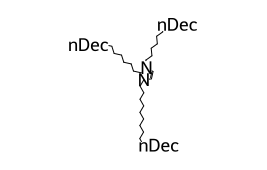 CCCCCCCCCCCCCCCCCCCN1C=CN(CCCCCCCCCCCCCCCC)C1CCCCCCCCCCCCCCCC